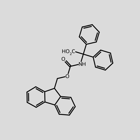 O=C(NC(C(=O)O)(c1ccccc1)c1ccccc1)OCC1c2ccccc2-c2ccccc21